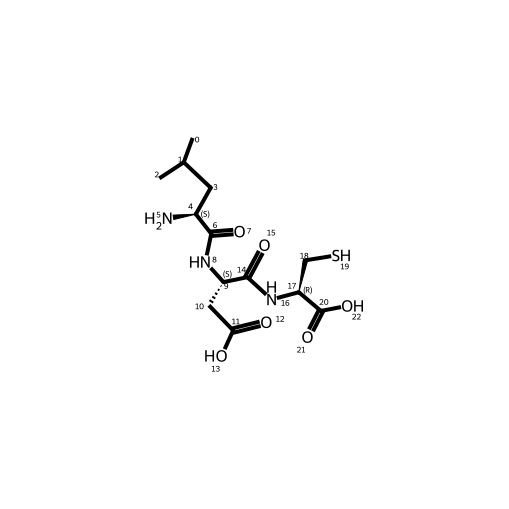 CC(C)C[C@H](N)C(=O)N[C@@H](CC(=O)O)C(=O)N[C@@H](CS)C(=O)O